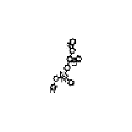 c1ccc(-c2cc(-c3ccc(-c4ccc(-c5ccc6c(c5)sc5ccccc56)c5c4oc4ccccc45)cc3)nc(-c3cccc(-c4ccncc4)c3)n2)cc1